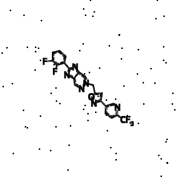 Fc1cccc(-c2nc3cnn(Cc4cc(-c5ccc(C(F)(F)F)nc5)no4)cc-3n2)c1F